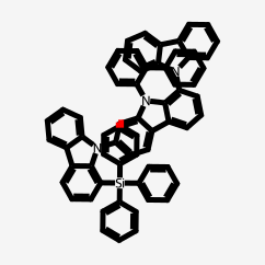 c1ccc(-c2ccccc2-n2c3cc(-n4c5ccccc5c5cccc([Si](c6ccccc6)(c6ccccc6)c6ccccc6)c54)ccc3c3cccc(-n4c5ccccc5c5ccccc54)c32)cc1